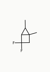 CC1C2C(F)(F)CC12C